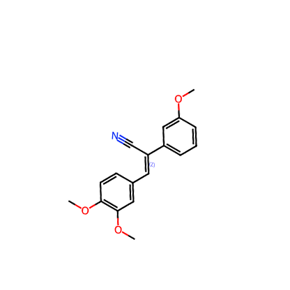 COc1cccc(/C(C#N)=C/c2ccc(OC)c(OC)c2)c1